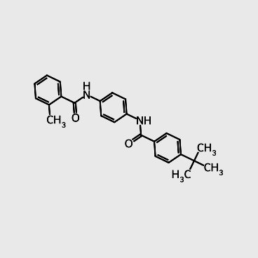 Cc1ccccc1C(=O)Nc1ccc(NC(=O)c2ccc(C(C)(C)C)cc2)cc1